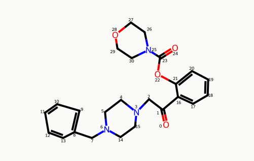 O=C(CN1CCN(Cc2ccccc2)CC1)c1ccccc1OC(=O)N1CCOCC1